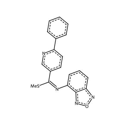 CSC(=Nc1cccc2nonc12)c1ccc(-c2ccccc2)nc1